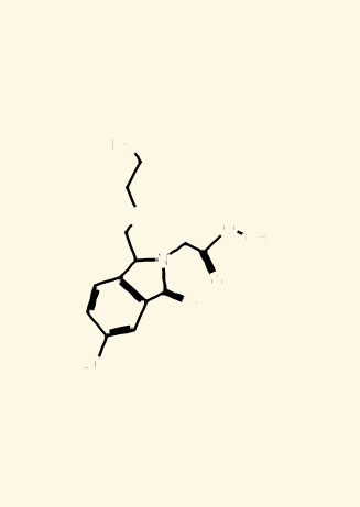 CCCOCC1c2ccc(Br)cc2C(=O)N1CC(=O)OC